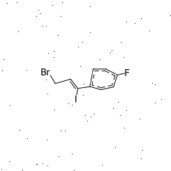 Fc1ccc(C(I)=CCBr)cc1